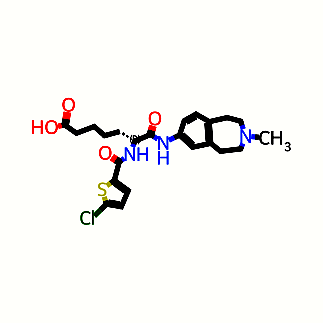 CN1CCc2ccc(NC(=O)[C@@H](CCCCC(=O)O)NC(=O)c3ccc(Cl)s3)cc2CC1